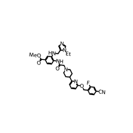 CCn1cncc1CNc1cc(C(=O)OC)ccc1NC(=O)CN1CCC(c2cccc(OCc3ccc(C#N)cc3F)n2)CC1